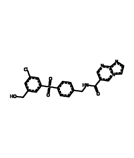 O=C(NCc1ccc(S(=O)(=O)c2cc(Cl)cc(CO)c2)cc1)c1cnc2nccn2c1